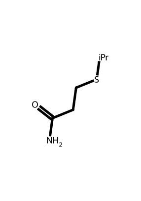 CC(C)SCCC(N)=O